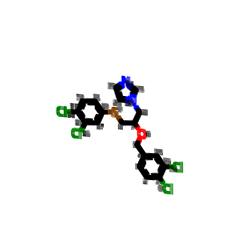 Clc1ccc(COC(CSc2ccc(Cl)c(Cl)c2)Cn2ccnc2)cc1Cl